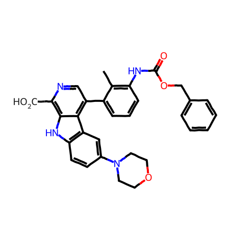 Cc1c(NC(=O)OCc2ccccc2)cccc1-c1cnc(C(=O)O)c2[nH]c3ccc(N4CCOCC4)cc3c12